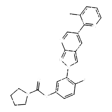 Cc1cccnc1-c1cnc2nn(-c3cc(NC(=O)N4CCCC4)ccc3F)cc2c1